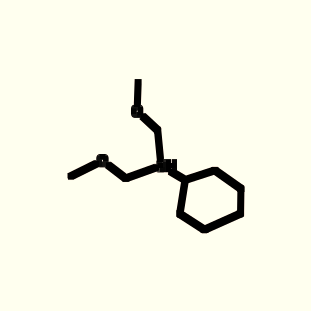 COC[SiH](COC)C1CCCCC1